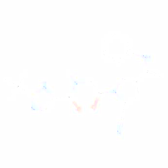 C=C(Nc1ccccc1)C1CC(C#N)N(C(=O)CN(C)C(=O)c2cnc(C(C)(C)C)[nH]2)C1